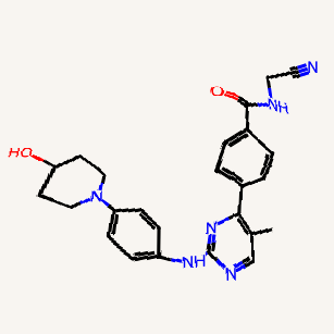 Cc1cnc(Nc2ccc(N3CCC(O)CC3)cc2)nc1-c1ccc(C(=O)NCC#N)cc1